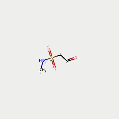 CNS(=O)(=O)CC=O